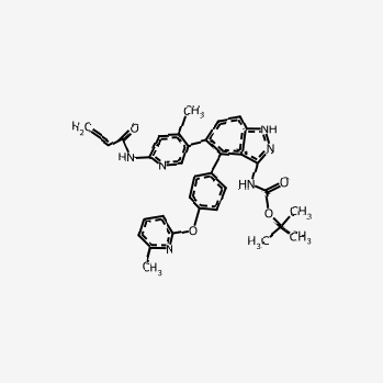 C=CC(=O)Nc1cc(C)c(-c2ccc3[nH]nc(NC(=O)OC(C)(C)C)c3c2-c2ccc(Oc3cccc(C)n3)cc2)cn1